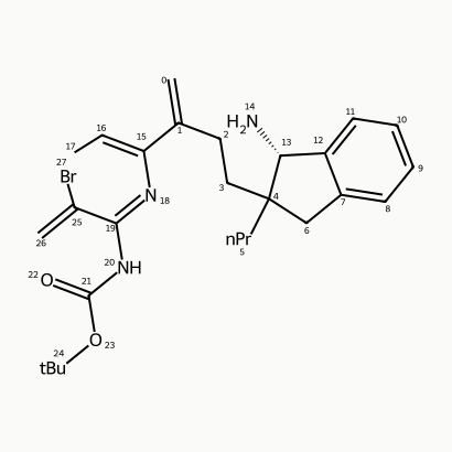 C=C(CCC1(CCC)Cc2ccccc2[C@H]1N)C(=C/C)/N=C(/NC(=O)OC(C)(C)C)C(=C)Br